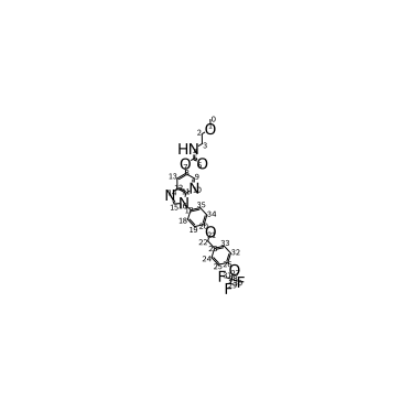 COCCNC(=O)Oc1cnc2c(c1)ncn2-c1ccc(OCc2ccc(OC(F)(F)F)cc2)cc1